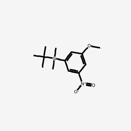 [CH2]Oc1cc([N+](=O)[O-])cc([Si](C)(C)C(C)(C)C)c1